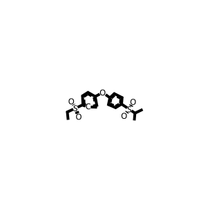 CCS(=O)(=O)c1ccc(Oc2ccc(S(=O)(=O)C(C)C)cc2)cc1